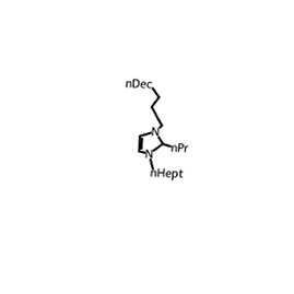 CCCCCCCCCCCCCN1C=CN(CCCCCCC)C1CCC